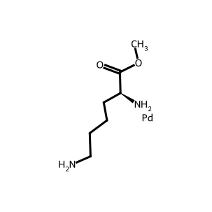 COC(=O)[C@@H](N)CCCCN.[Pd]